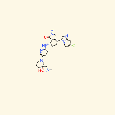 CN(C)CC1(O)CCCN(c2ccc(Nc3ccc(-c4cnc5cc(F)ccn45)c4c3C(=O)NC4)nc2)C1